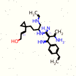 C=CNCC(CCC1(/C=C/CO)CC1)N/C(N)=C(/C(=C)N)C(=N)c1ccc(C=C)cc1